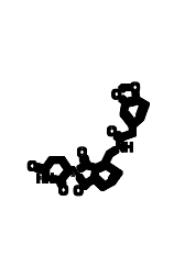 O=C(Cc1ccc2c(c1)OCO2)NCc1cccc2c1C(=O)N(C1CCC(=O)NC1=O)C2=O